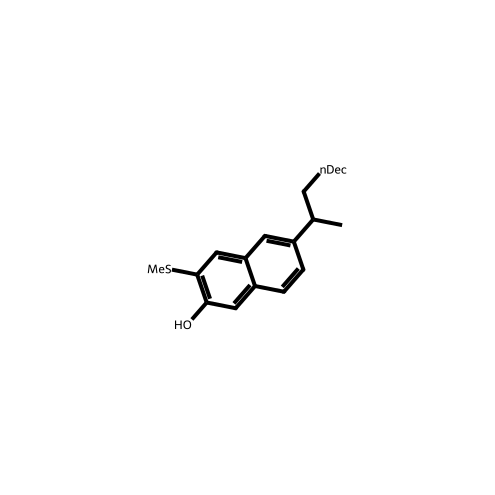 CCCCCCCCCCCC(C)c1ccc2cc(O)c(SC)cc2c1